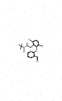 CC(C)(C)[S+]([O-])NCc1c(F)ccc(F)c1Sc1ncccc1C=O